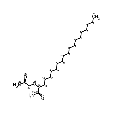 CCCCCCCCCCCCCCCCCCC(OCC(N)=O)C(N)=O